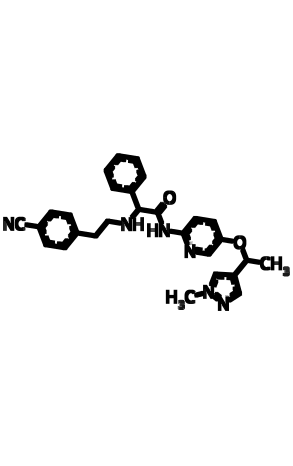 CC(Oc1ccc(NC(=O)C(NCCc2ccc(C#N)cc2)c2ccccc2)nc1)c1cnn(C)c1